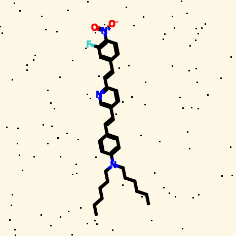 CCCCCCN(CCCCCC)c1ccc(/C=C/c2ccc(/C=C/c3ccc([N+](=O)[O-])c(F)c3)nc2)cc1